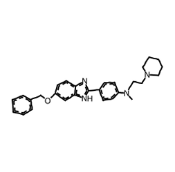 CN(CCN1CCCCC1)c1ccc(-c2nc3ccc(OCc4ccccc4)cc3[nH]2)cc1